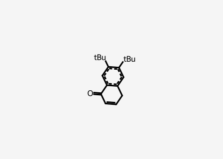 CC(C)(C)c1cc2c(cc1C(C)(C)C)C(=O)C=CC2